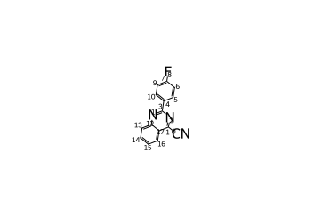 N#Cc1nc(-c2ccc(F)cc2)nc2ccccc12